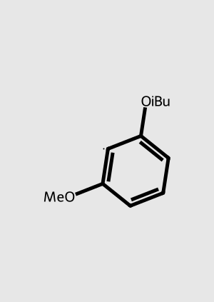 COc1[c]c(OCC(C)C)ccc1